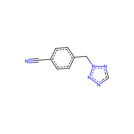 N#Cc1ccc(Cn2ncnn2)cc1